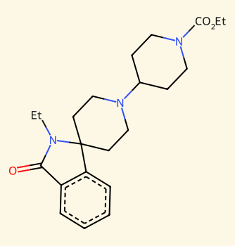 CCOC(=O)N1CCC(N2CCC3(CC2)c2ccccc2C(=O)N3CC)CC1